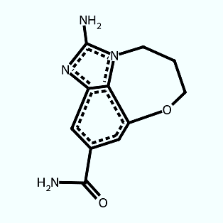 NC(=O)c1cc2c3c(c1)nc(N)n3CCCO2